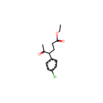 CCOC(=O)CCC(C(C)=O)c1ccc(Br)cc1